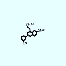 COc1ccc2cc(-c3cccc(C#N)c3)cc(CCNC(C)=O)c2c1